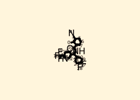 Cc1c(C#N)cccc1C(=O)NC(c1ccc(C(F)(F)F)nc1)C1CCC(F)(F)CC1